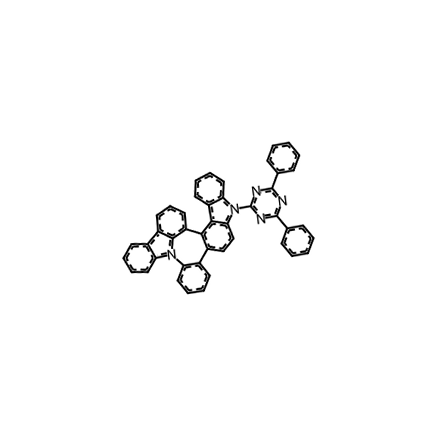 c1ccc(-c2nc(-c3ccccc3)nc(-n3c4ccccc4c4c5c(ccc43)-c3ccccc3-n3c4ccccc4c4cccc-5c43)n2)cc1